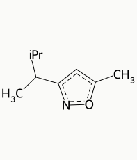 Cc1cc(C(C)C(C)C)no1